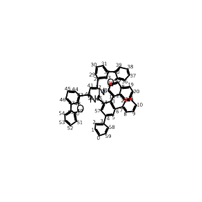 c1ccc(-c2cc(-c3ccccc3)c(-c3cccc4ccccc34)c(-c3nc(-c4cccc5c4oc4ccccc45)cc(-c4cccc5c4oc4ccccc45)n3)c2)cc1